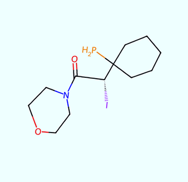 O=C([C@@H](I)C1(P)CCCCC1)N1CCOCC1